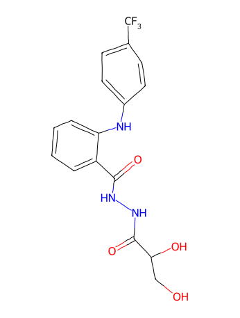 O=C(NNC(=O)C(O)CO)c1ccccc1Nc1ccc(C(F)(F)F)cc1